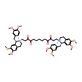 COc1ccc(C[C@@H]2c3cc(OC)c(OC)cc3CC[N@+]2(C)CCC(=O)C(=O)CCCCCC(=O)C(=O)CC[N@@+]2(C)CCc3cc(OC)c(OC)cc3[C@H]2Cc2ccc(OC)c(OC)c2)cc1OC